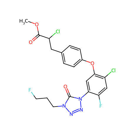 COC(=O)C(Cl)Cc1ccc(Oc2cc(-n3nnn(CCCF)c3=O)c(F)cc2Cl)cc1